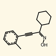 Cc1ccccc1C#CC(=NO)C1CCCCC1